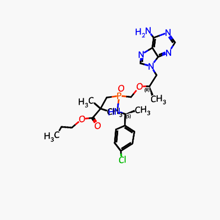 CCCOC(=O)C(C)(C)CP(=O)(CO[C@H](C)Cn1cnc2c(N)ncnc21)N[C@@H](C)c1ccc(Cl)cc1